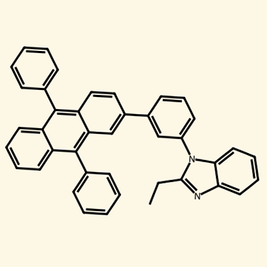 CCc1nc2ccccc2n1-c1cccc(-c2ccc3c(-c4ccccc4)c4ccccc4c(-c4ccccc4)c3c2)c1